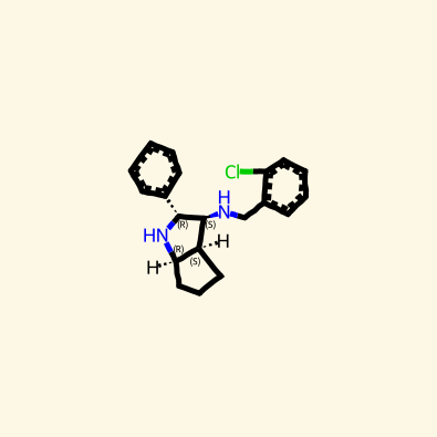 Clc1ccccc1CN[C@H]1[C@H]2CCC[C@H]2N[C@@H]1c1ccccc1